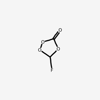 O=C1OOC(F)O1